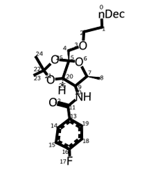 CCCCCCCCCCCCOC[C@@]12O[C@@H](C)C(NC(=O)c3ccc(F)cc3)[C@H]1OC(C)(C)O2